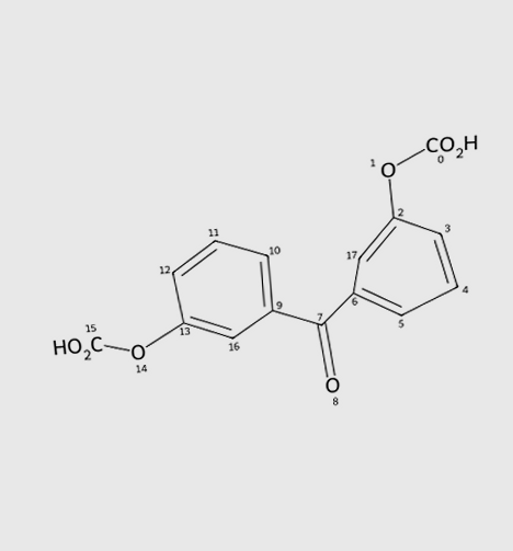 O=C(O)Oc1cccc(C(=O)c2cccc(OC(=O)O)c2)c1